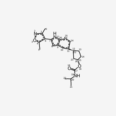 Cc1noc(C)c1-c1cc2cc([C@H]3CC[C@@H](OC(=O)NC(C)C)C3)cnc2[nH]1